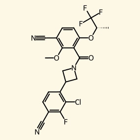 COc1c(C#N)ccc(O[C@@H](C)C(F)(F)F)c1C(=O)N1CC(c2ccc(C#N)c(F)c2Cl)C1